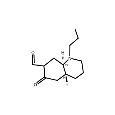 CCCN1CCC[C@@H]2CC(=O)C(C=O)C[C@H]21